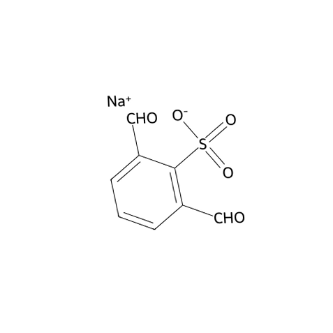 O=Cc1cccc(C=O)c1S(=O)(=O)[O-].[Na+]